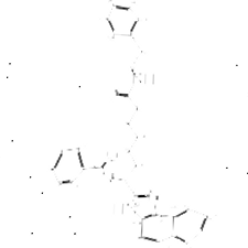 O=C(CCCCC[C@H](NC(=O)c1ccccc1)c1nc2c(ccc3ccccc32)[nH]1)NOCc1ccccc1